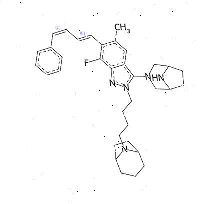 Cc1cc2c(N3CC4CCC(C3)N4)n(CCCCN3C4CCCC3CC4)nc2c(F)c1/C=C/C=C\c1ccccc1